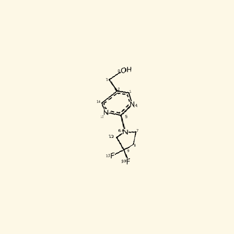 OCc1cnc(N2CCC(F)(F)C2)nc1